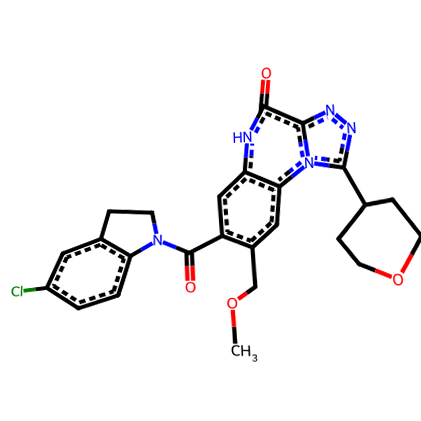 COCc1cc2c(cc1C(=O)N1CCc3cc(Cl)ccc31)[nH]c(=O)c1nnc(C3CCOCC3)n12